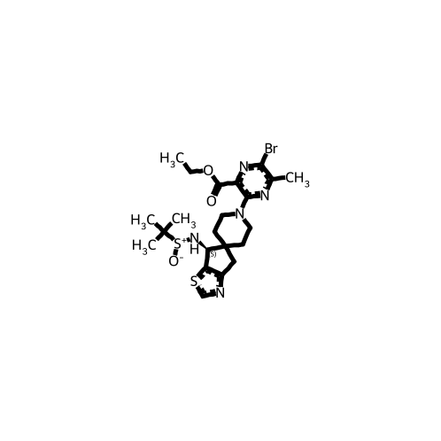 CCOC(=O)c1nc(Br)c(C)nc1N1CCC2(CC1)Cc1ncsc1[C@H]2N[S+]([O-])C(C)(C)C